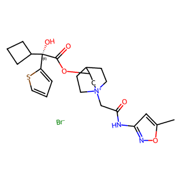 Cc1cc(NC(=O)C[N+]23CCC(CC2)C(OC(=O)[C@@](O)(c2cccs2)C2CCC2)C3)no1.[Br-]